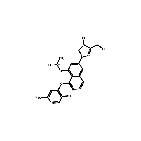 CCN1CN(c2cc(O[C@@H](C)C(F)(F)F)c3c(Oc4cc(OC)ncc4Cl)nccc3c2)N=C1CO